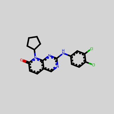 O=c1ccc2cnc(Nc3ccc(Cl)c(Cl)c3)nc2n1C1CCCC1